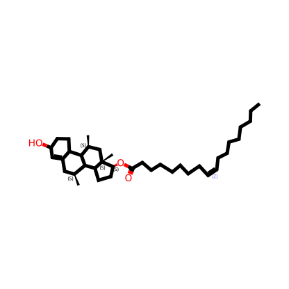 CCCCCCCC/C=C\CCCCCCCC(=O)O[C@H]1CCC2C3C(C4CCC(O)C=C4C[C@@H]3C)[C@@H](C)C[C@@]21C